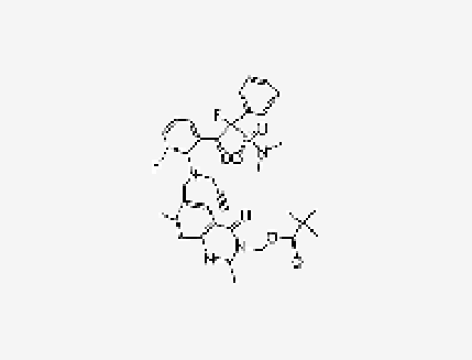 C#CCN(Cc1cc2c(=O)n(COC(=O)C(C)(C)C)c(C)nc2cc1C)c1c(F)cccc1C(=O)C(F)(c1ccccc1)S(=O)(=O)N(C)C